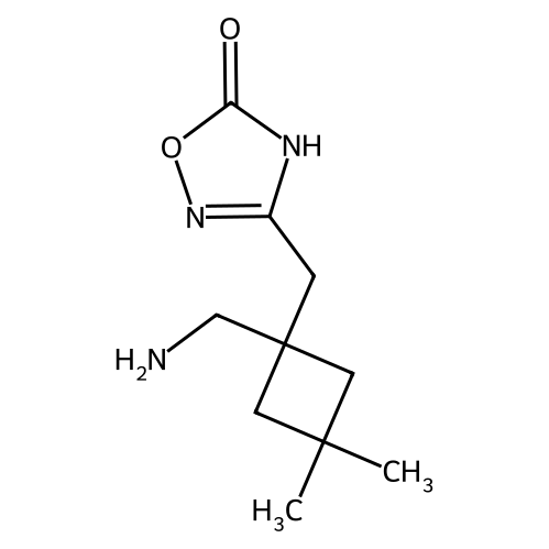 CC1(C)CC(CN)(Cc2noc(=O)[nH]2)C1